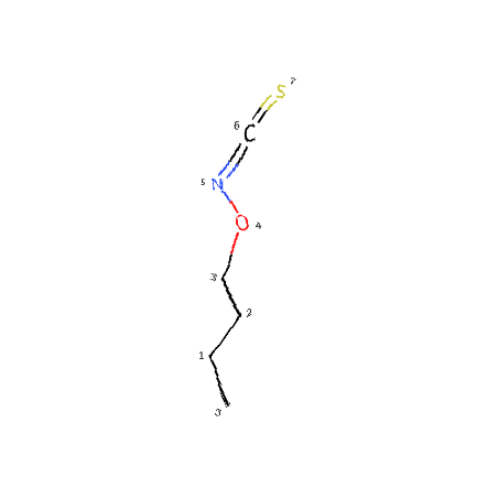 CCCCON=C=S